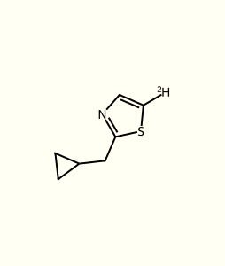 [2H]c1cnc(CC2CC2)s1